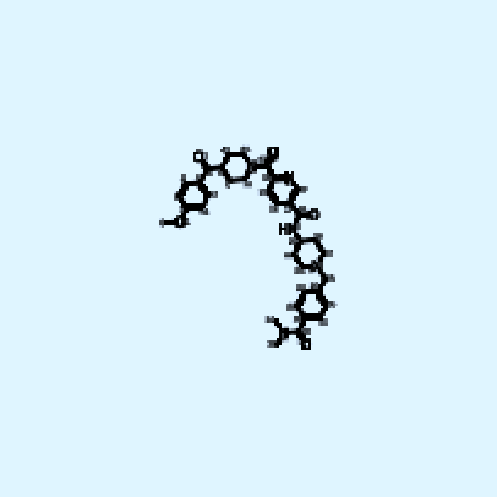 COc1ccc(C(=O)C2CCN(C(=O)c3ccc(C(=O)NC4CCN(Cc5ccc(C(=O)N(C)C)cc5)CC4)cn3)CC2)cc1